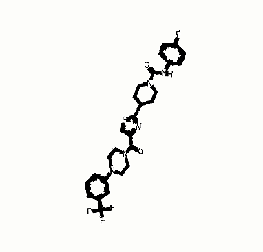 O=C(Nc1ccc(F)cc1)N1CCC(c2nc(C(=O)N3CCN(c4cccc(C(F)(F)F)c4)CC3)cs2)CC1